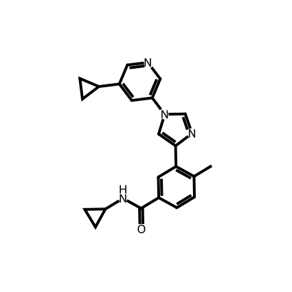 Cc1ccc(C(=O)NC2CC2)cc1-c1cn(-c2cncc(C3CC3)c2)cn1